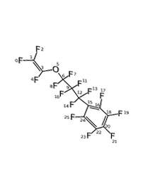 FC(F)=C(F)OC(F)(F)C(F)(F)C(F)(F)c1c(F)c(F)c(F)c(F)c1F